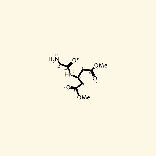 COC(=O)CC(CC(=O)OC)NC(=O)CN